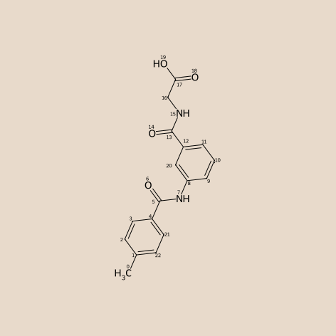 Cc1ccc(C(=O)Nc2c[c]cc(C(=O)NCC(=O)O)c2)cc1